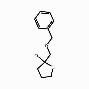 CCC1(COCc2ccccc2)CCCO1